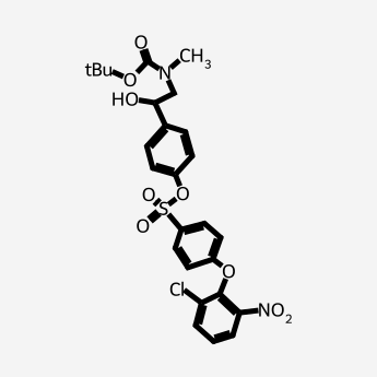 CN(CC(O)c1ccc(OS(=O)(=O)c2ccc(Oc3c(Cl)cccc3[N+](=O)[O-])cc2)cc1)C(=O)OC(C)(C)C